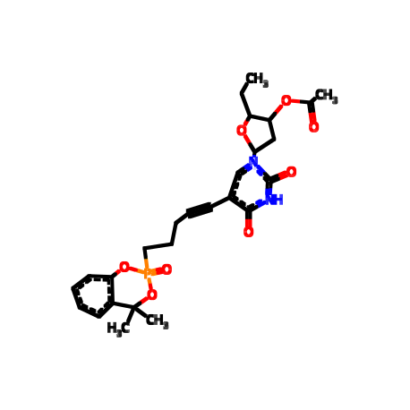 CCC1OC(n2cc(C#CCCCP3(=O)Oc4ccccc4C(C)(C)O3)c(=O)[nH]c2=O)CC1OC(C)=O